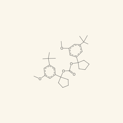 COc1cc(C(C)(C)C)cc(C2(OC(=O)OC3(c4cc(OC)cc(C(C)(C)C)c4)CCCC3)CCCC2)c1